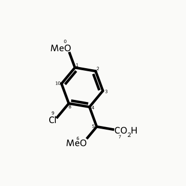 COc1ccc(C(OC)C(=O)O)c(Cl)c1